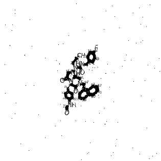 C#CCN(C(=O)NCc1ccc(F)cc1)N1CC(=O)N2[C@@H](Cc3ccc(NC=O)cc3)C(=O)N(Cc3cccc4ccccc34)C[C@@H]21